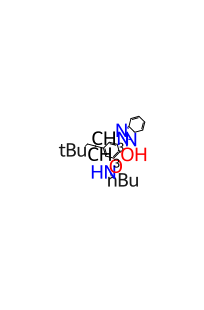 CCCCNOc1cc(C(C)(C)CC(C)(C)C)cc(-n2nc3ccccc3n2)c1O